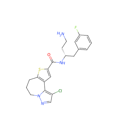 NCC[C@H](Cc1cccc(F)c1)NC(=O)c1cc2c(s1)CCCn1ncc(Cl)c1-2